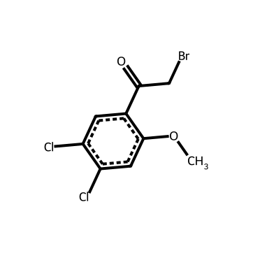 COc1cc(Cl)c(Cl)cc1C(=O)CBr